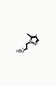 CCCCCCn1nccc1C